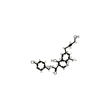 O=C(NCc1ccc(Cl)cc1)c1cnc2c(F)cc(CC#CCO)cc2c1O